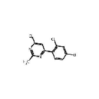 Cc1nc(Cl)cc(-c2ccc(Cl)cc2Cl)n1